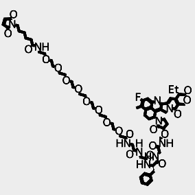 CC[C@H]1C(=O)OCc2c1cc1n(c2=O)Cc2c-1nc1cc(F)c(C)c3c1c2[C@@H](N1CCC(OCNC(=O)CNC(=O)[C@H](Cc2ccccc2)NC(=O)CNC(=O)CNC(=O)COCCOCCOCCOCCOCCOCCOCCOCCNC(=O)CCCCCN2C(=O)C=CC2=O)C1=O)CC3